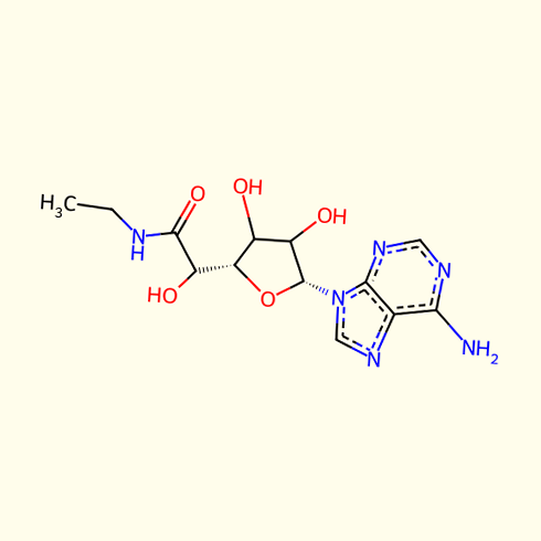 CCNC(=O)C(O)[C@H]1O[C@@H](n2cnc3c(N)ncnc32)C(O)C1O